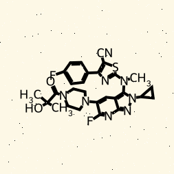 CN(c1nc(-c2ccc(F)cc2)c(C#N)s1)c1c2cc(N3CCN(C(=O)C(C)(C)O)CC3)c(F)nc2nn1C1CC1